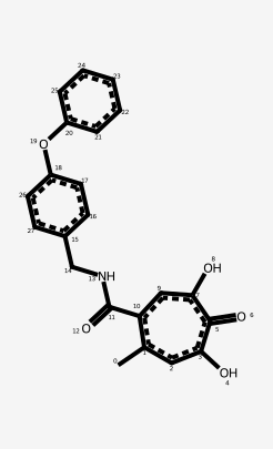 Cc1cc(O)c(=O)c(O)cc1C(=O)NCc1ccc(Oc2ccccc2)cc1